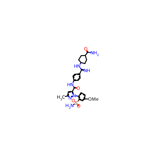 COc1ccc(-n2nc(C)cc2C(=O)Nc2ccc(C(=N)NC3CCC(C(N)=O)CC3)cc2)c(S(N)(=O)=O)c1